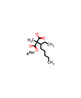 CCCCCC(CC)C(C)(C(=O)[O-])C(=O)[O-].[K+].[Na+]